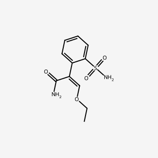 CCOC=C(C(N)=O)c1ccccc1S(N)(=O)=O